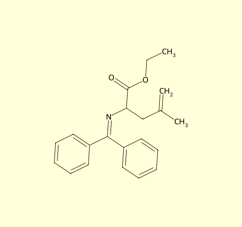 C=C(C)CC(N=C(c1ccccc1)c1ccccc1)C(=O)OCC